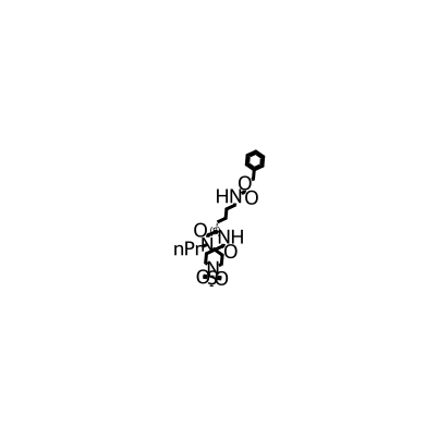 CCCN1C(=O)[C@H](CCCCNC(=O)OCc2ccccc2)NC(=O)C12CCN(S(C)(=O)=O)CC2